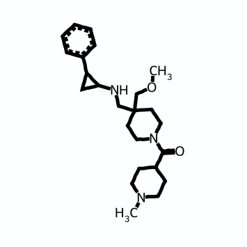 COCC1(CNC2CC2c2ccccc2)CCN(C(=O)C2CCN(C)CC2)CC1